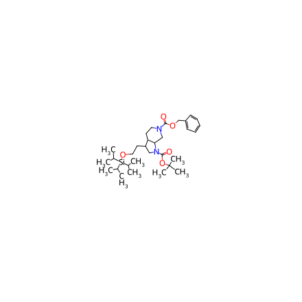 CC(C)[Si](OCCC1CN(C(=O)OC(C)(C)C)C2CN(C(=O)OCc3ccccc3)CCC12)(C(C)C)C(C)C